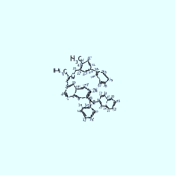 CC(=Cc1ccc2cc(N(c3ccccc3)c3ccc4ccccc4c3)ccc2c1)OCc1cc(-c2ccccc2)ccc1C